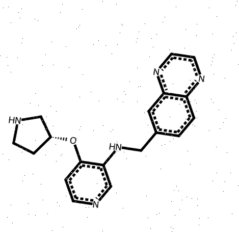 c1cc(O[C@@H]2CCNC2)c(NCc2ccc3nccnc3c2)cn1